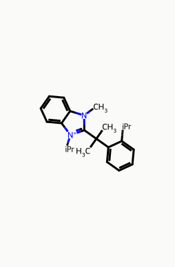 CC(C)c1ccccc1C(C)(C)c1n(C)c2ccccc2[n+]1C(C)C